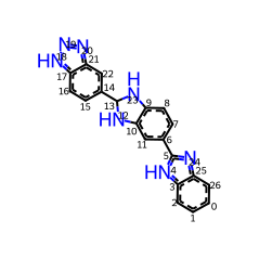 c1ccc2[nH]c(-c3ccc4c(c3)NC(c3ccc5[nH]nnc5c3)N4)nc2c1